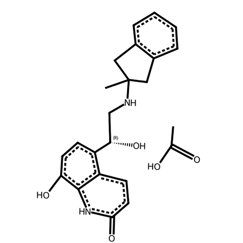 CC(=O)O.CC1(NC[C@H](O)c2ccc(O)c3[nH]c(=O)ccc23)Cc2ccccc2C1